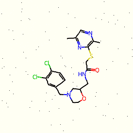 Cc1cnc(C)c(SCC(=O)NCC2CN(Cc3ccc(Cl)c(Cl)c3)CCO2)n1